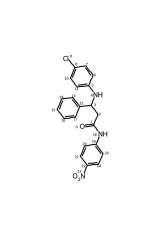 O=C(CC(Nc1ccc(Cl)cc1)c1ccccc1)Nc1ccc([N+](=O)[O-])cc1